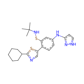 CC(C)(C)NSc1cc(Nc2cc[nH]n2)ccc1-c1cnc(C2CCCCC2)s1